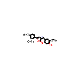 COc1ccc(C2=C/C(=C/c3ccc(O)c(OC)c3)C(=O)O2)c(OC)c1